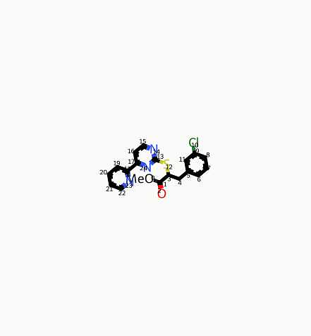 COC(=O)C(Cc1cccc(Cl)c1)Sc1nccc(-c2ccccn2)n1